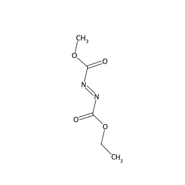 CCOC(=O)N=NC(=O)OC